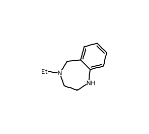 CCN1CCNc2ccccc2C1